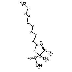 CCCCCCCCCCCC(C)(C(=O)O)C(=O)O